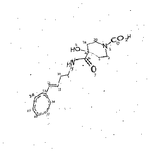 O=C(O)N1CCC(O)(C(=O)NCCC=Cc2ccccc2)CC1